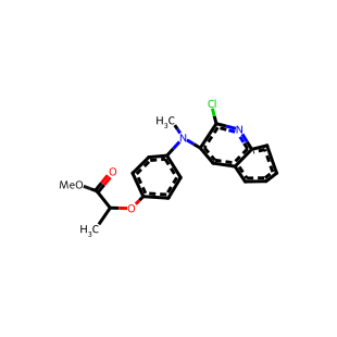 COC(=O)C(C)Oc1ccc(N(C)c2cc3ccccc3nc2Cl)cc1